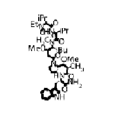 CC[C@H](C)[C@@H]([C@@H](CC(=O)N1CCC[C@H]1[C@H](OC)[C@@H](C)C(=O)N[C@@H](Cc1c[nH]c2ccccc12)C(N)=O)OC)N(C)C(=O)[C@@H](NC(=O)[C@H](C(C)C)N(C)CC)C(C)C